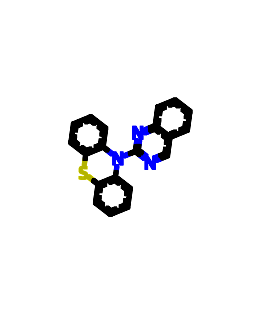 c1ccc2c(c1)Sc1ccccc1N2c1ncc2ccccc2n1